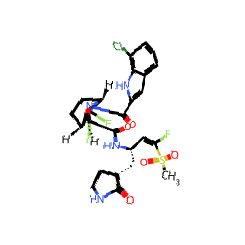 CS(=O)(=O)/C(F)=C\[C@H](C[C@H]1CCNC1=O)NC(=O)[C@H]1[C@@H]2CC[C@@H](CC2(F)F)N1C(=O)c1cc2cccc(Cl)c2[nH]1